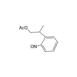 CC(=O)OCC(C)c1ccccc1N=O